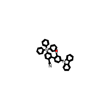 N#Cc1cc(-n2c3ccccc3c3ccccc32)ccc1-c1cc([Si](c2ccccc2)(c2ccccc2)c2ccccc2)ccc1C#N